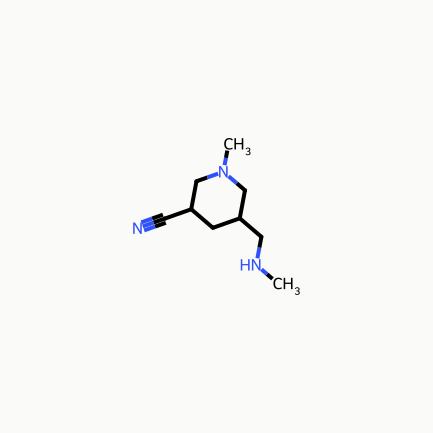 CNCC1CC(C#N)CN(C)C1